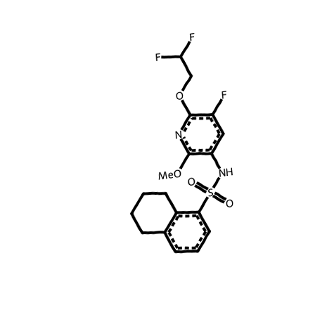 COc1nc(OCC(F)F)c(F)cc1NS(=O)(=O)c1cccc2c1CCCC2